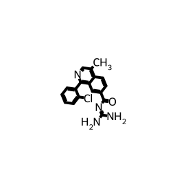 Cc1cnc(-c2ccccc2Cl)c2cc(C(=O)N=C(N)N)ccc12